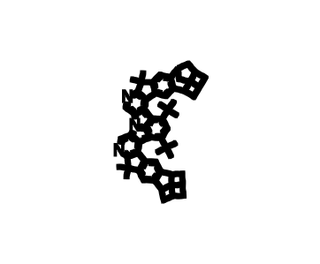 CC(C)(C)c1cc(C(C)(C)C)c2c3c4c(ncc3n3c5cnc6c(c5c1c23)-c1cc2c(cc1C6(C)C)C1CC3CC5CC2C35C1)C(C)(C)c1cc2c(cc1-4)C1CC3CC4CC2C341